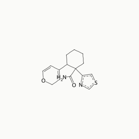 NC(=O)C1(c2cscn2)CCCCC1C1=CCOC=C1